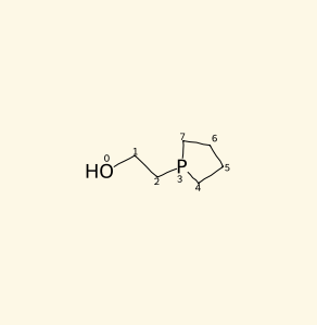 OCCP1CCCC1